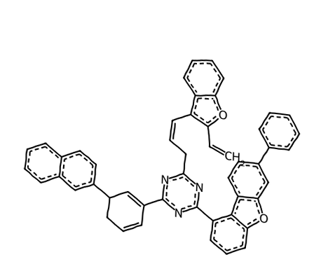 C=Cc1oc2ccccc2c1/C=C\Cc1nc(C2=CC(c3ccc4ccccc4c3)CC=C2)nc(-c2cccc3oc4cc(-c5ccccc5)ccc4c23)n1